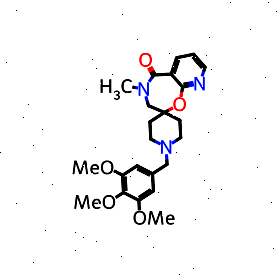 COc1cc(CN2CCC3(CC2)CN(C)C(=O)c2cccnc2O3)cc(OC)c1OC